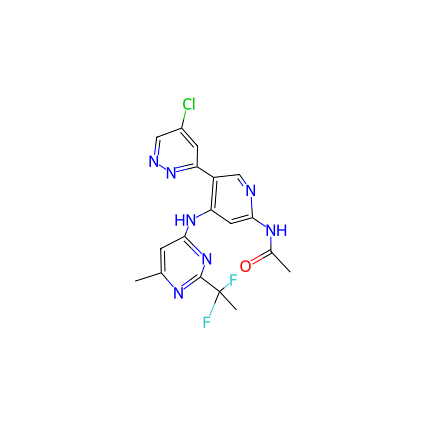 CC(=O)Nc1cc(Nc2cc(C)nc(C(C)(F)F)n2)c(-c2cc(Cl)cnn2)cn1